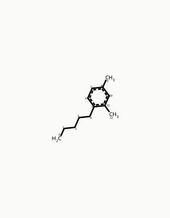 [CH2]CCCCc1ccc(C)cc1C